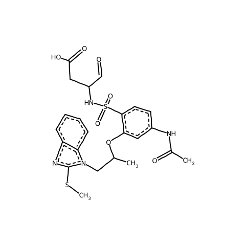 CSc1nc2ccccc2n1CC(C)Oc1cc(NC(C)=O)ccc1S(=O)(=O)NC(C=O)CC(=O)O